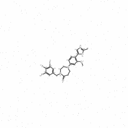 COc1cc(N2CCC(=O)N(Cc3cc(F)c(F)c(F)c3)CC2)ccc1-c1cnc(C)o1